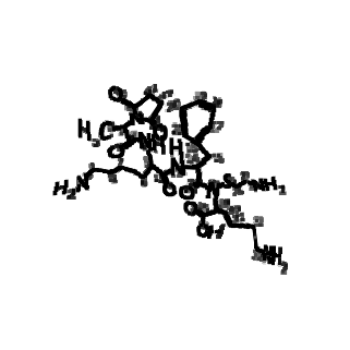 CC(C(=O)NC(CCCCN)C(=O)NC(Cc1ccccc1)C(=O)N(SCCN)C(CCCCN)C(=O)O)N1C(=O)CCC1=O